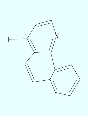 Ic1ccnc2c1ccc1ccccc12